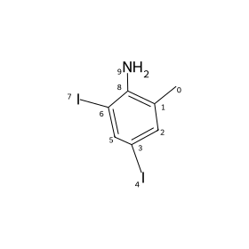 Cc1cc(I)cc(I)c1N